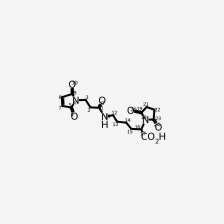 O=C(CCN1C(=O)C=CC1=O)NCCCCC(C(=O)O)N1C(=O)CCC1=O